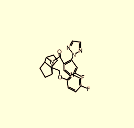 O=C(c1ccc(F)cc1-n1nccn1)N1C2CCC3(COc4ccc(F)cn4)C2CCC13